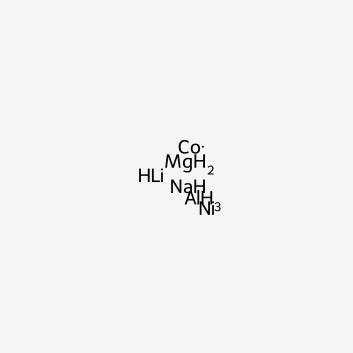 [AlH3].[Co].[LiH].[MgH2].[NaH].[Ni]